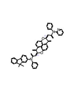 C=C1/C(=C\C(=C)N(c2ccccc2)c2ccc3c(c2)C(C)(C)c2ccccc2-3)Oc2ccc3c4c(ccc1c24)O/C(=C/C(=C)N(c1ccccc1)c1ccccn1)C3=C